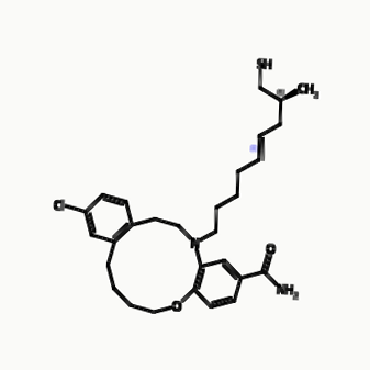 C[C@H](CS)C/C=C/CCCCN1CCc2ccc(Cl)cc2CCCCOc2ccc(C(N)=O)cc21